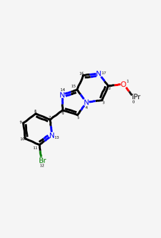 CC(C)Oc1cn2cc(-c3cccc(Br)n3)nc2cn1